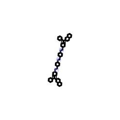 C(=C\c1ccc(/C=C/c2ccc(N(c3ccccc3)c3ccc4ccccc4c3)cc2)cc1)/c1ccc(/C=C/c2ccc(N(c3ccccc3)c3ccc4ccccc4c3)cc2)cc1